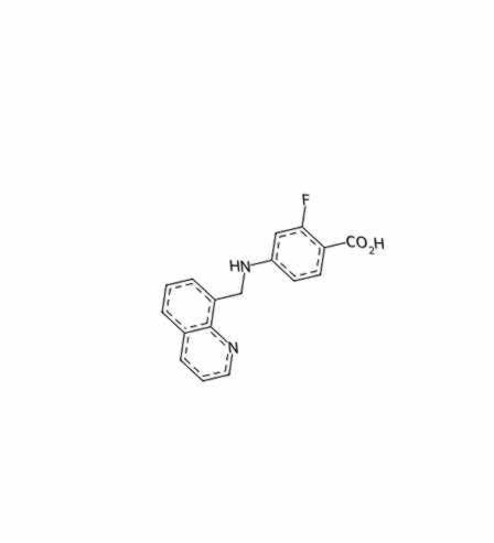 O=C(O)c1ccc(NCc2cccc3cccnc23)cc1F